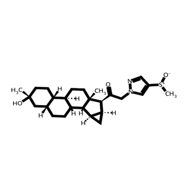 C[S+]([O-])c1cnn(CC(=O)[C@H]2[C@H]3C[C@H]3[C@H]3[C@@H]4CC[C@@H]5C[C@](C)(O)CC[C@@H]5[C@H]4CC[C@@]32C)c1